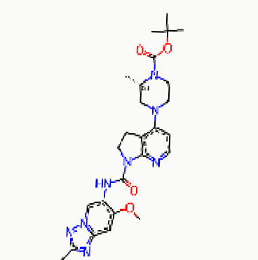 COc1cc2nc(C)nn2cc1NC(=O)N1CCc2c(N3CCN(C(=O)OC(C)(C)C)[C@@H](C)C3)ccnc21